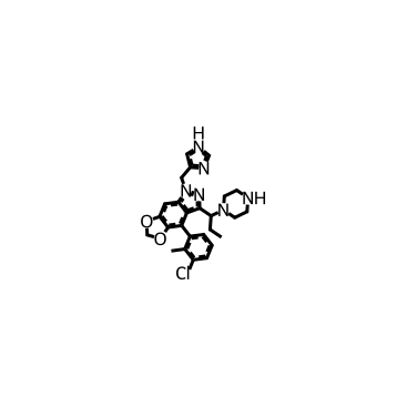 CCC(c1nn(Cc2c[nH]cn2)c2cc3c(c(-c4cccc(Cl)c4C)c12)OCO3)N1CCNCC1